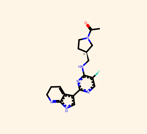 CC(=O)N1CC[C@H](CNc2nc(-c3c[nH]c4c3=CCCN=4)ncc2F)C1